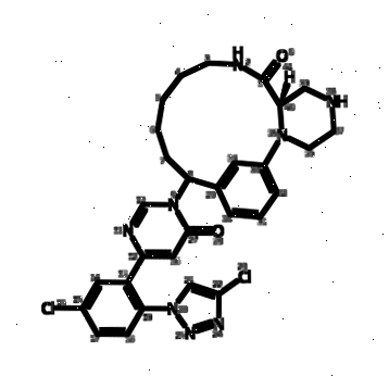 O=C1NCCCCCC(n2cnc(-c3cc(Cl)ccc3-n3cc(Cl)nn3)cc2=O)c2cccc(c2)N2CCNC[C@@H]12